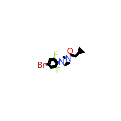 O=C(CC1CC1)N1C=CN(c2c(F)cc(Br)cc2F)C1